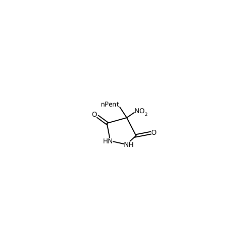 CCCCCC1([N+](=O)[O-])C(=O)NNC1=O